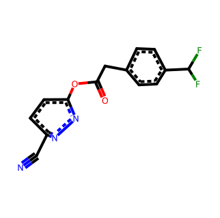 N#Cc1ccc(OC(=O)Cc2ccc(C(F)F)cc2)nn1